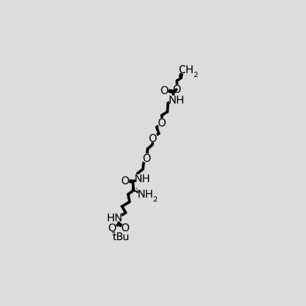 C=CCOC(=O)NCCCOCCOCCOCCCNC(=O)[C@@H](N)CCCCNC(=O)OC(C)(C)C